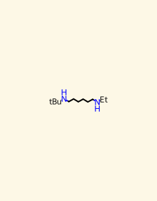 CCNCCCCCCNC(C)(C)C